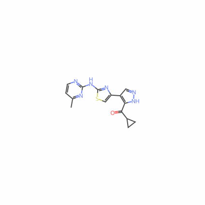 Cc1ccnc(Nc2nc(-c3cn[nH]c3C(=O)C3CC3)cs2)n1